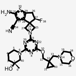 C[C@@]1(O)CCCN(c2nc(OCC3(CN4CCOCC4)CC3)nc(N3CC4(C3)c3c(sc(N)c3C#N)C[C@H]4F)n2)C1